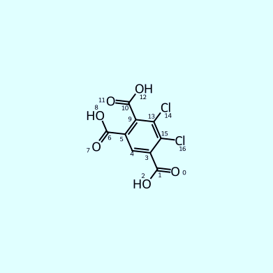 O=C(O)c1cc(C(=O)O)c(C(=O)O)c(Cl)c1Cl